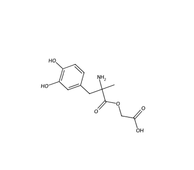 CC(N)(Cc1ccc(O)c(O)c1)C(=O)OCC(=O)O